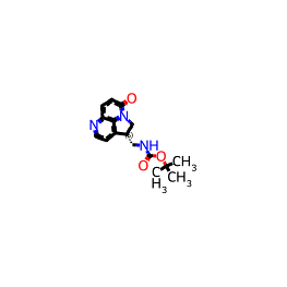 CC(C)(C)OC(=O)NC[C@H]1Cn2c(=O)ccc3nccc1c32